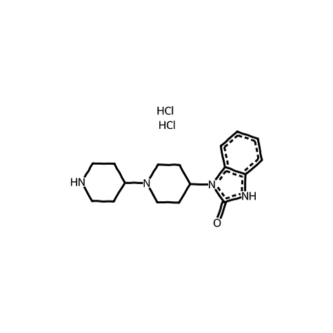 Cl.Cl.O=c1[nH]c2ccccc2n1C1CCN(C2CCNCC2)CC1